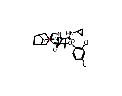 CC(C)(Oc1ccc(Cl)cc1Cl)C(=O)NC1CC2CCC(C1)N2c1ccc(C(=O)NC2CC2)nc1